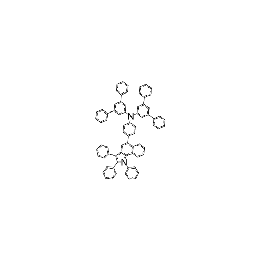 c1ccc(-c2cc(-c3ccccc3)cc(N(c3ccc(-c4cc5c(-c6ccccc6)c(-c6ccccc6)n(-c6ccccc6)c5c5ccccc45)cc3)c3cc(-c4ccccc4)cc(-c4ccccc4)c3)c2)cc1